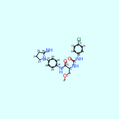 COCC(NC(=O)Nc1ccc(Cl)cc1)C(=O)Nc1ccc(N2CCCC2=N)cc1